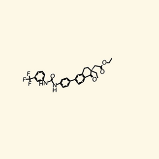 CCOC(=O)C[C@]1(CC)CCc2cc(-c3ccc(NC(=O)Nc4cccc(C(F)(F)F)c4)cc3)ccc2C1=O